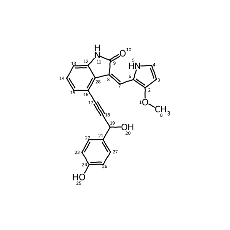 COc1cc[nH]c1C=C1C(=O)Nc2cccc(C#CC(O)c3ccc(O)cc3)c21